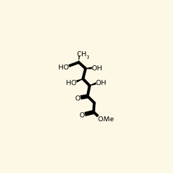 COC(=O)CC(=O)[C@H](O)[C@@H](O)[C@H](O)[C@@H](C)O